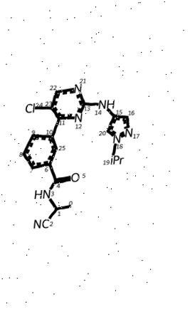 CC(C#N)NC(=O)c1cccc(-c2nc(Nc3cnn(C(C)C)c3)ncc2Cl)c1